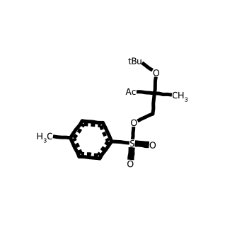 CC(=O)C(C)(COS(=O)(=O)c1ccc(C)cc1)OC(C)(C)C